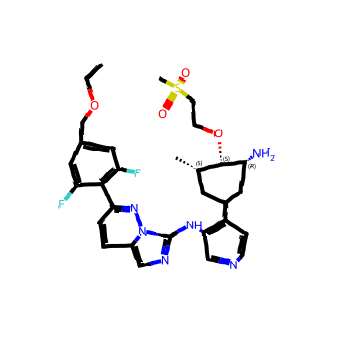 CCOCc1cc(F)c(-c2ccc3cnc(Nc4cnccc4C4C[C@@H](N)[C@@H](OCCS(C)(=O)=O)[C@@H](C)C4)n3n2)c(F)c1